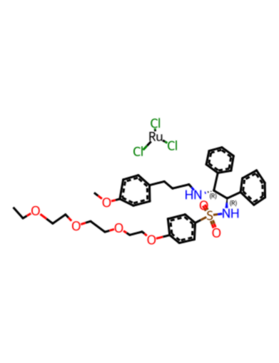 CCOCCOCCOCCOc1ccc(S(=O)(=O)N[C@H](c2ccccc2)[C@H](NCCCc2ccc(OC)cc2)c2ccccc2)cc1.[Cl][Ru]([Cl])[Cl]